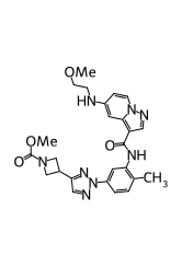 COCCNc1ccn2ncc(C(=O)Nc3cc(-n4ncc(C5CN(C(=O)OC)C5)n4)ccc3C)c2c1